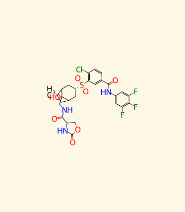 C[C@H]1CC2C[C@@H](S(=O)(=O)c3cc(C(=O)Nc4cc(F)c(F)c(F)c4)ccc3Cl)CC1[C@@]2(O)CNC(=O)C1COC(=O)N1